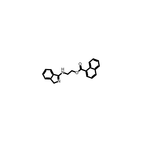 O=C(OCCNC1=NCc2ccccc21)c1cccc2ccccc12